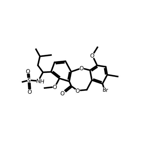 COc1cc(C)c(Br)c2c1Oc1ccc(C(CC(C)C)NS(C)(=O)=O)c(OC)c1C(=O)OC2